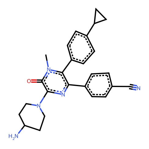 Cn1c(-c2ccc(C3CC3)cc2)c(-c2ccc(C#N)cc2)nc(N2CCC(N)CC2)c1=O